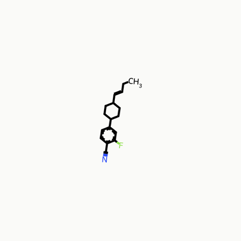 CC/C=C/C1CCC(c2ccc(C#N)c(F)c2)CC1